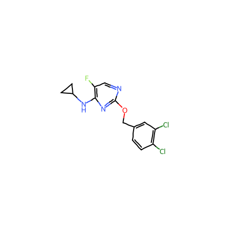 Fc1cnc(OCc2ccc(Cl)c(Cl)c2)nc1NC1CC1